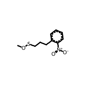 COSCCCc1ccccc1[N+](=O)[O-]